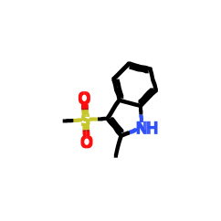 Cc1[nH]c2ccccc2c1S(C)(=O)=O